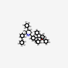 CC1=C(c2cccc(-c3ccccc3)c2)N=C(c2ccc(C)c(C3(c4ccccc4C(C)c4ccccc4)c4ccccc4-c4ccccc43)c2)CC=C1c1ccccc1